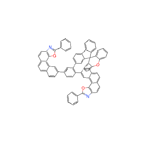 c1ccc(-c2nc3ccc4ccc5ccc(-c6ccc(-c7ccc8ccc9ccc%10nc(-c%11ccccc%11)oc%10c9c8c7)c(-c7ccc8c(c7)C7(c9ccccc9Oc9ccccc97)c7ccccc7-8)c6)cc5c4c3o2)cc1